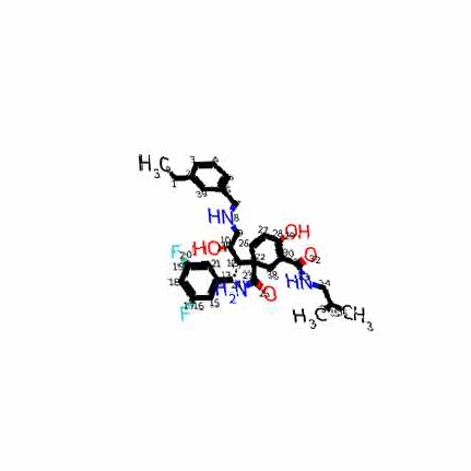 CCc1cccc(CNC[C@H](O)[C@@H](Cc2cc(F)cc(F)c2)C2(C(N)=O)C=CC(O)=C(C(=O)NCC(C)C)C2)c1